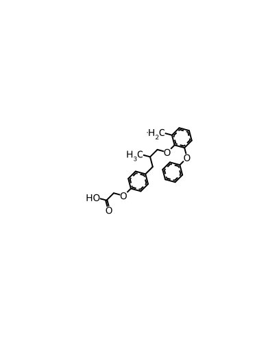 [CH2]c1cccc(Oc2ccccc2)c1OCC(C)Cc1ccc(OCC(=O)O)cc1